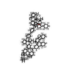 CC1(C)c2cc(N(c3ccc(-c4ccccc4-c4cccc5oc6ccccc6c45)cc3)c3cccc4c3-c3ccccc3C43[C@H]4CC5C[C@@H](C4)C[C@@H]3C5)ccc2-c2cccc(-c3ccc(-c4ccc(N(c5ccc(-c6ccccc6)cc5)c5ccc6c(c5)[C@](C)([C@H]5C[C@@H]7CC[C@@H](C7)C5)c5ccccc5O6)cc4)cc3)c21